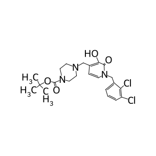 CC(C)(C)OC(=O)N1CCN(Cc2ccn(Cc3cccc(Cl)c3Cl)c(=O)c2O)CC1